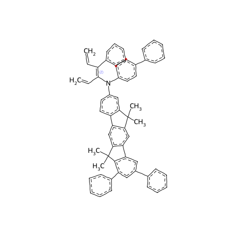 C=C/C(=C(\C=C)N(c1ccc(-c2ccccc2)cc1)c1ccc2c(c1)C(C)(C)c1cc3c(cc1-2)C(C)(C)c1c(-c2ccccc2)cc(-c2ccccc2)cc1-3)c1ccccc1